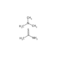 CC(N)=S.CN(C)C